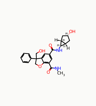 CNC(=O)c1cc(C(=O)N[C@H]2[C@@H]3C[C@H](O)C[C@@H]32)cc2c1OCC2(CO)c1ccccc1